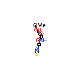 COCCOC(=O)CC1COc2ccc(NC(=O)c3ccc(/C=N/N4CCSCC4)cc3)cc2C1